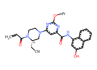 C=CC(=O)N1CCN(c2cc(C(=O)Nc3cc(O)cc4ccccc34)nc(OCCC)n2)C[C@@H]1CC#N